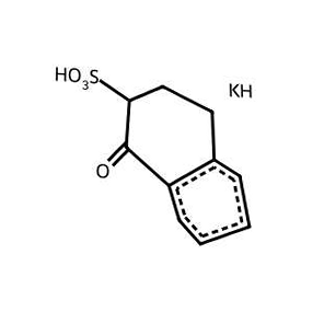 O=C1c2ccccc2CCC1S(=O)(=O)O.[KH]